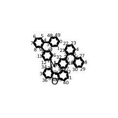 c1ccc(-c2ccccc2-c2ccc(N(c3cccc(-c4ccccc4-c4ccccc4)c3)c3cccc4oc5ccccc5c34)cc2)cc1